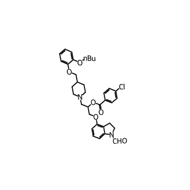 CCCCOc1ccccc1OCC1CCN(CC(COc2cccc3c2CCN3C=O)OC(=O)c2ccc(Cl)cc2)CC1